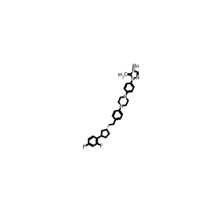 C=C1N(c2ccc(N3CCN(c4ccc(CC[C@@H]5CCC(c6ccc(F)cc6F)C5)cc4)CC3)cc2)N=CN1C(C)CC